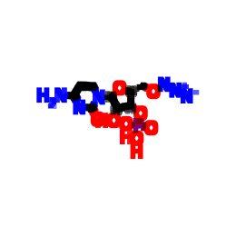 [N-]=[N+]=NOC[C@H]1O[C@@H](n2ccc(N)nc2=O)[C@H](O)[C@@H]1OP(=O)(O)O